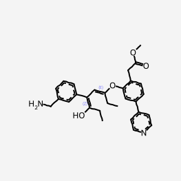 CC/C(O)=C(\C=C(/CC)Oc1cc(-c2ccncc2)ccc1CC(=O)OC)c1cccc(CN)c1